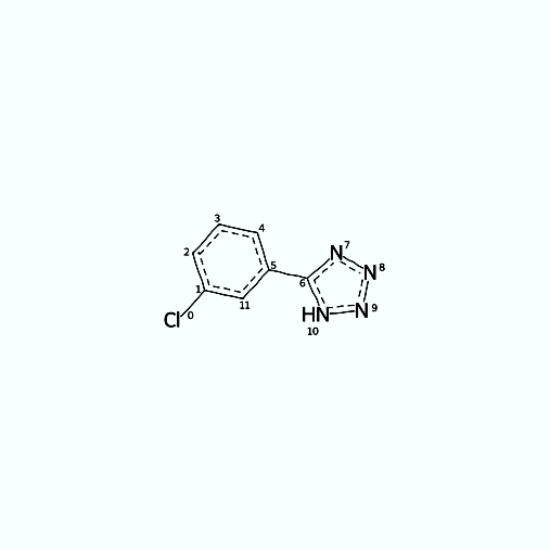 Clc1[c]ccc(-c2nnn[nH]2)c1